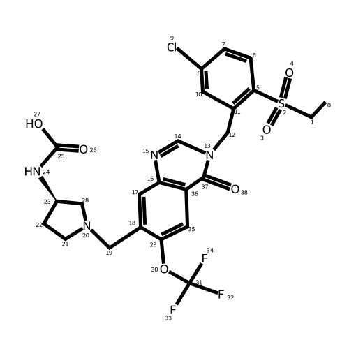 CCS(=O)(=O)c1ccc(Cl)cc1Cn1cnc2cc(CN3CC[C@@H](NC(=O)O)C3)c(OC(F)(F)F)cc2c1=O